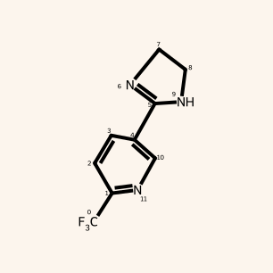 FC(F)(F)c1ccc(C2=NCCN2)cn1